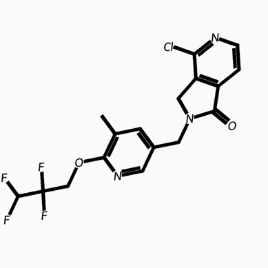 Cc1cc(CN2Cc3c(ccnc3Cl)C2=O)cnc1OCC(F)(F)C(F)F